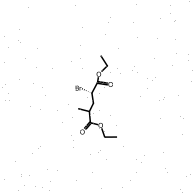 CCOC(=O)C(C)C[C@H](Br)C(=O)OCC